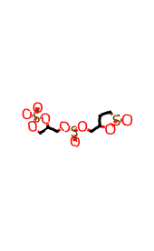 O=S1CCC(COS(=O)OCC2COS(=O)(=O)O2)O1